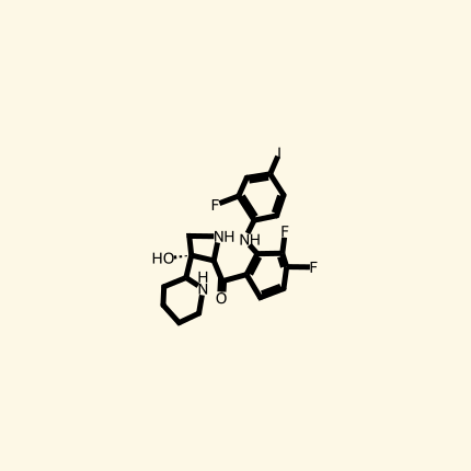 O=C(c1ccc(F)c(F)c1Nc1ccc(I)cc1F)C1NC[C@]1(O)C1CCCCN1